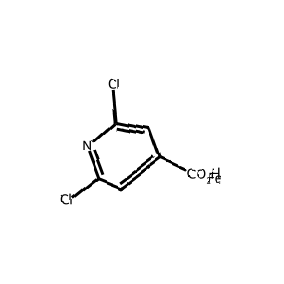 O=C(O)c1cc(Cl)nc(Cl)c1.[Fe]